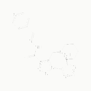 Nc1nonc1-n1nnc(C(=O)NN=Cc2ccncc2)c1CN1CCCCC1